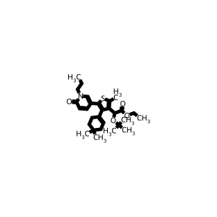 CCCn1cc(-c2sc(C)c(C(OC(C)(C)C)C(=O)OCC)c2C2=CCC(C)(C)CC2)ccc1=O